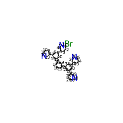 Brc1ccc(-c2cc(-c3cccnc3)cc(-c3cccc(-c4cc(-c5cccnc5)cc(-c5cccnc5)c4)c3)c2)cn1